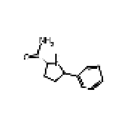 NC(=O)[C@H]1CCC(c2ccccc2)N1